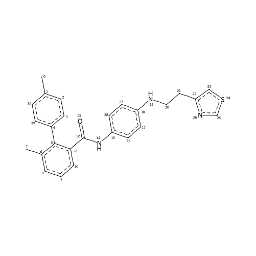 Cc1ccc(-c2c(C)cccc2C(=O)Nc2ccc(NCCc3cscn3)cc2)cc1